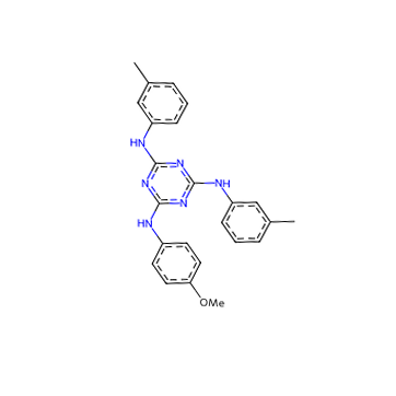 COc1ccc(Nc2nc(Nc3cccc(C)c3)nc(Nc3cccc(C)c3)n2)cc1